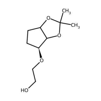 CC1(C)OC2CC[C@H](OCCO)C2O1